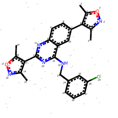 Cc1noc(C)c1-c1ccc2nc(-c3c(C)noc3C)nc(NCc3cccc(Cl)c3)c2c1